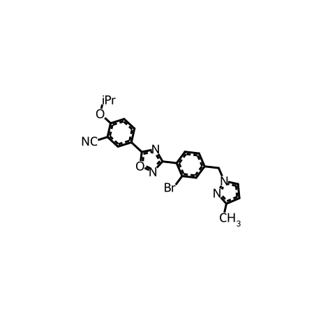 Cc1ccn(Cc2ccc(-c3noc(-c4ccc(OC(C)C)c(C#N)c4)n3)c(Br)c2)n1